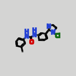 Cc1cccc(NC(=O)Nc2cccc(C3=NCCN3Cl)c2)c1